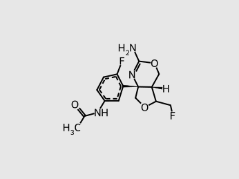 CC(=O)Nc1ccc(F)c([C@]23COC(CF)[C@H]2COC(N)=N3)c1